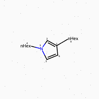 CCCCCCc1[c]n(CCCCCC)cc1